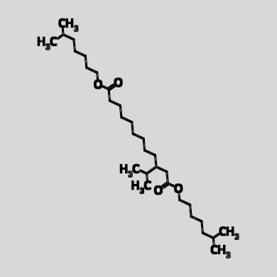 CC(C)CCCCCOC(=O)CCCCCCCCC(CC(=O)OCCCCCC(C)C)C(C)C